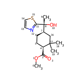 COC(=O)[C@H]1CC[C@@H]([C@@](C)(O)c2nccs2)CC1(C)C